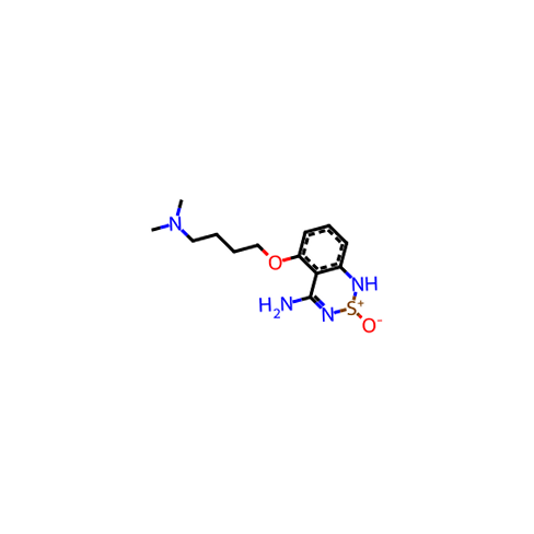 CN(C)CCCCOc1cccc2c1C(N)=N[S+]([O-])N2